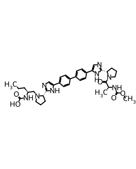 CCC[C@@H](CN1CCC[C@H]1c1ncc(-c2ccc(-c3ccc(-c4cnc([C@@H]5CCCN5C(=O)[C@H](C)NC(=O)OC)[nH]4)cc3)cc2)[nH]1)NC(=O)O